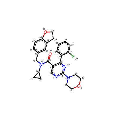 O=C(c1cnc(N2CCOCC2)nc1-c1ccccc1F)N(Cc1ccc2c(c1)CCO2)C1CC1